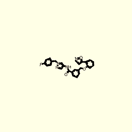 O=C(Nc1cnn(Cc2ccc(F)cc2)c1)c1cccc(COc2ccccc2-c2ccno2)c1